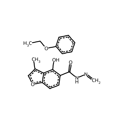 C=NNC(=O)c1ccc2occ(C)c2c1O.CCOc1ccccc1